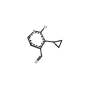 O=Cc1ccnc(Cl)c1C1CC1